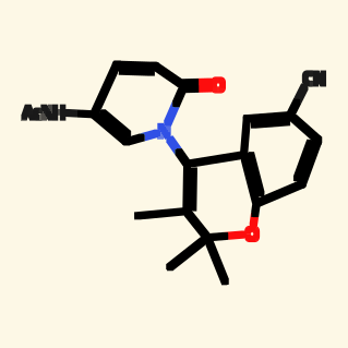 CC(=O)Nc1ccc(=O)n(C2=C(C)C(C)(C)Oc3ccc(C#N)cc32)c1